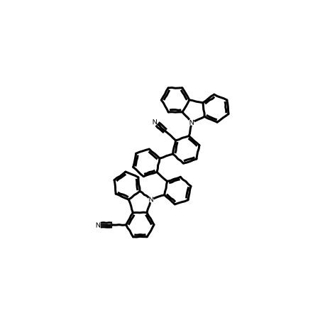 N#Cc1c(-c2ccccc2-c2ccccc2-n2c3ccccc3c3c(C#N)cccc32)cccc1-n1c2ccccc2c2ccccc21